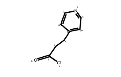 O=C(Cl)CCc1ccncc1